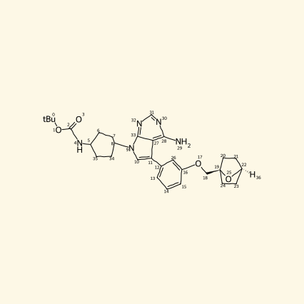 CC(C)(C)OC(=O)NC1CCC(n2cc(-c3cccc(OC[C@]45CC[C@@H](CC4)O5)c3)c3c(N)ncnc32)CC1